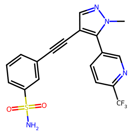 Cn1ncc(C#Cc2cccc(S(N)(=O)=O)c2)c1-c1ccc(C(F)(F)F)nc1